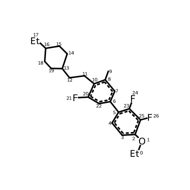 CCOc1ccc(-c2cc(C)c(CCC3CCC(CC)CC3)c(F)c2)c(F)c1F